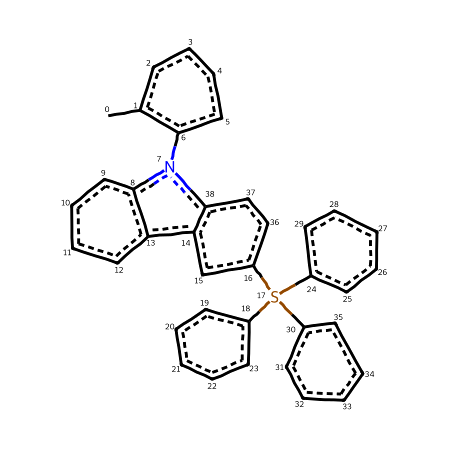 Cc1ccccc1-n1c2ccccc2c2cc(S(c3ccccc3)(c3ccccc3)c3ccccc3)ccc21